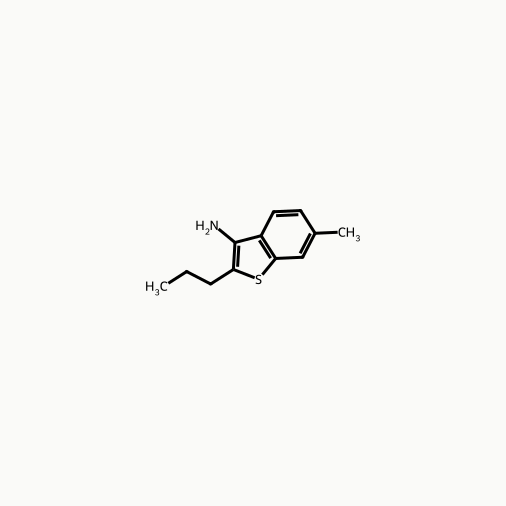 CCCc1sc2cc(C)ccc2c1N